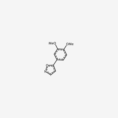 COc1ccc(-c2c[c]no2)cc1OC